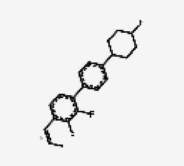 C/C=C\c1ccc(-c2ccc(C3CCC(F)CC3)cc2)c(F)c1F